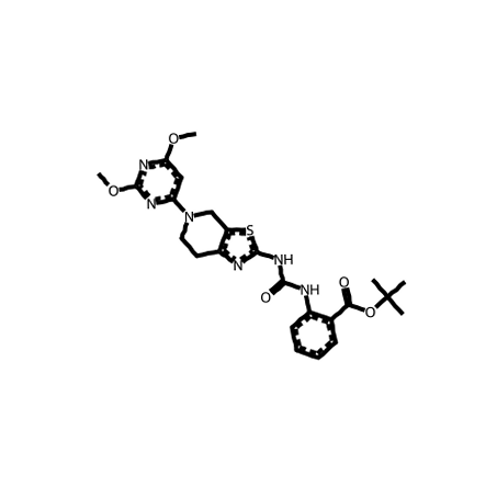 COc1cc(N2CCc3nc(NC(=O)Nc4ccccc4C(=O)OC(C)(C)C)sc3C2)nc(OC)n1